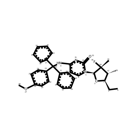 CC[C@H]1O[C@@H](n2ccc(NC(c3ccccc3)(c3ccccc3)c3ccc(OC)cc3)nc2=O)[C@](C)(F)[C@@H]1C